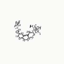 CC(C)(O)Cc1ccc2ccc3ccc(OCCCC(F)(F)F)cc3c2c1